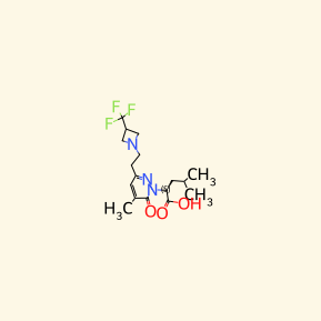 Cc1cc(CCN2CC(C(F)(F)F)C2)nn([C@@H](CC(C)C)C(=O)O)c1=O